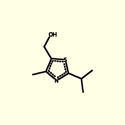 Cc1nc(C(C)C)sc1CO